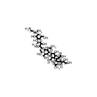 CO[C@@H](O[C@@H]1C(CO)O[C@@H](N(C)OCCN)C(O)C1O)C(O)C(O)[C@H](CCO)O[C@@H]1OC(CO)[C@H](O)C(O[C@@H]2OC(CO)[C@H](O)C(O[C@]3(C(=O)O)CC(O)[C@@H](NC(C)=O)C([C@H](O)[C@H](O)CO)O3)C2O)C1NC(C)=O